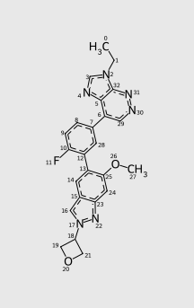 CCn1cnc2c(-c3ccc(F)c(-c4cc5cn(C6COC6)nc5cc4OC)c3)cnnc21